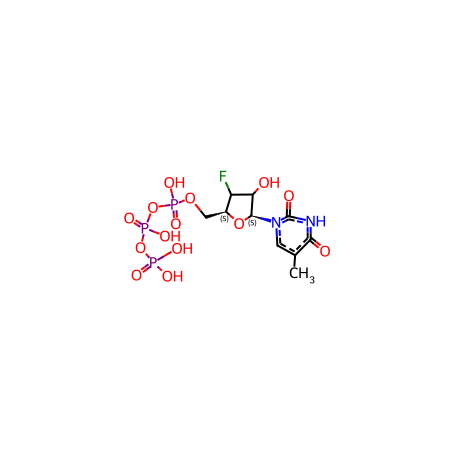 Cc1cn([C@H]2O[C@@H](COP(=O)(O)OP(=O)(O)OP(=O)(O)O)C(F)C2O)c(=O)[nH]c1=O